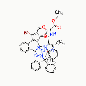 CCOC(=O)CNC(=O)c1c(C)nc(CC)n1Cc1c2ccocc-2c(Br)c1-c1ccccc1-c1nnn(C(c2ccccc2)(c2ccccc2)c2ccccc2)n1